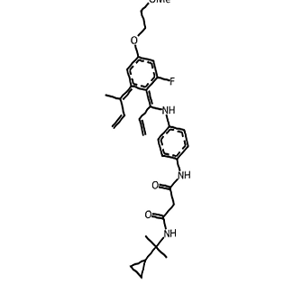 C=C/C(C)=c1/cc(OCCOC)cc(F)/c1=C(/C=C)Nc1ccc(NC(=O)CC(=O)NC(C)(C)C2CC2)cc1